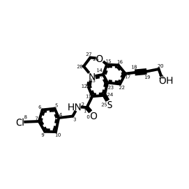 O=C(NCc1ccc(Cl)cc1)c1cn2c3c(cc(C#CCO)cc3c1=S)OCC2